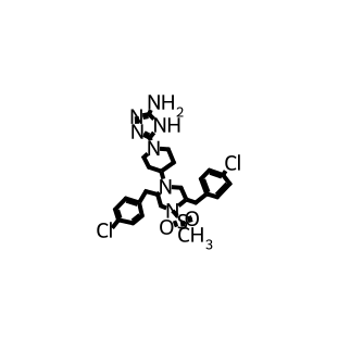 CS(=O)(=O)N1CC(Cc2ccc(Cl)cc2)N(C2CCN(c3nnc(N)[nH]3)CC2)CC1Cc1ccc(Cl)cc1